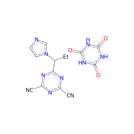 CCC(c1nc(C#N)nc(C#N)n1)n1ccnc1.O=c1[nH]c(=O)[nH]c(=O)[nH]1